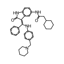 O=C(CC1CCCCC1)Nc1ccc2c(c1)C(=C(Nc1ccc(CN3CCCCC3)cc1)c1ccccc1)C(=O)N2